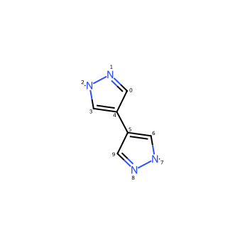 C1=N[N]C=C1C1=C[N]N=C1